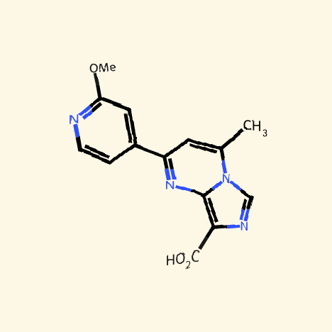 COc1cc(-c2cc(C)n3cnc(C(=O)O)c3n2)ccn1